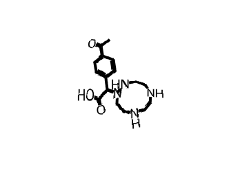 CC(=O)c1ccc(C(C(=O)O)N2CCNCCNCCN2)cc1